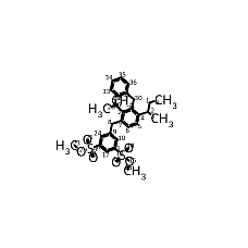 CCC(C)c1c[c]c(Cc2cc(S(=O)(=O)OC)cc(S(=O)(=O)OC)c2)c(C(C)C)c1Cc1ccccc1